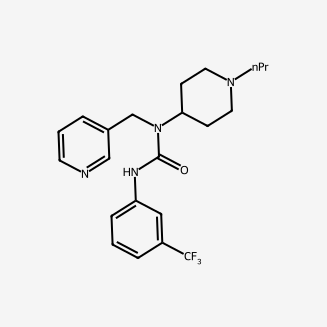 CCCN1CCC(N(Cc2cccnc2)C(=O)Nc2cccc(C(F)(F)F)c2)CC1